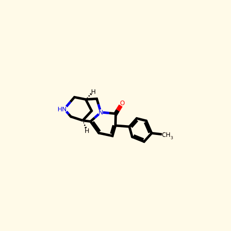 Cc1ccc(-c2ccc3n(c2=O)C[C@@H]2CNC[C@H]3C2)cc1